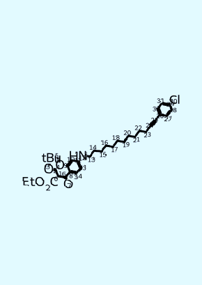 CCOC(=O)C(C(=O)OC(C)(C)C)C(=O)c1ccc(NCCCCCCCCCCCC#Cc2ccc(Cl)cc2)cc1